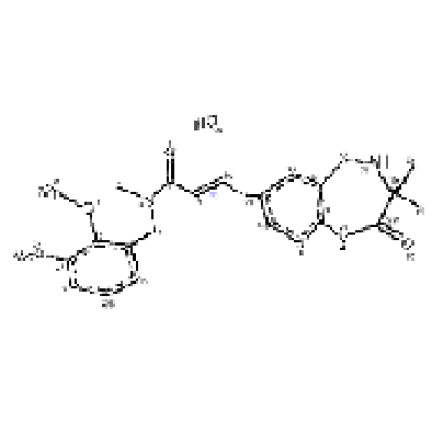 CCCOc1c(CN(C)C(=O)/C=C/c2cnc3c(c2)CNC(C)(C)C(=O)N3)cccc1OC.Cl